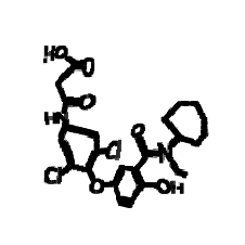 CCN(C(=O)c1cc(Oc2c(Cl)cc(NC(=O)CC(=O)O)cc2Cl)ccc1O)C1CCCCC1